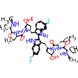 CCC(NC(=O)[C@H](C)NC)C(=O)N1CC(O)C[C@H]1Cc1c(-c2[nH]c3cc(F)ccc3c2C[C@@H]2CC(O)CN2C(=O)[C@H](CC)NC(=O)[C@H](C)NC)[nH]c2cc(F)ccc12